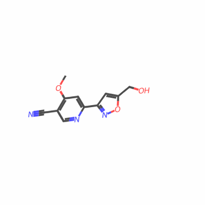 COc1cc(-c2cc(CO)on2)ncc1C#N